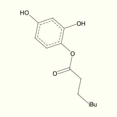 CCC(C)CCC(=O)Oc1ccc(O)cc1O